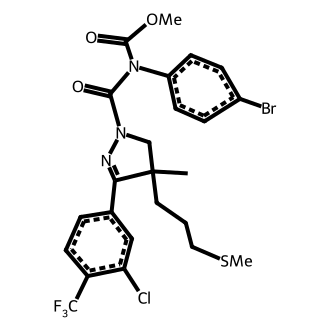 COC(=O)N(C(=O)N1CC(C)(CCCSC)C(c2ccc(C(F)(F)F)c(Cl)c2)=N1)c1ccc(Br)cc1